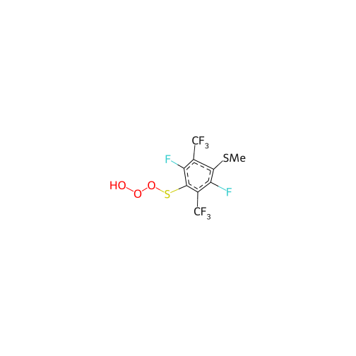 CSc1c(F)c(C(F)(F)F)c(SOOO)c(F)c1C(F)(F)F